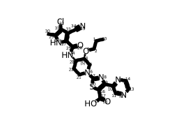 CCCO[C@H]1CN(c2nc(-c3cnccn3)c(C(=O)O)s2)CC[C@H]1NC(=O)c1[nH]c(C)c(Cl)c1C#N